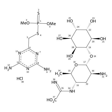 COP(=S)(OC)SCc1nc(N)nc(N)n1.C[C@H]1O[C@H](O[C@H]2[C@H](O)[C@@H](O)[C@@H](O)[C@H](O)[C@@H]2O)[C@@H](N)C[C@@H]1NC(=N)C(=O)O.Cl